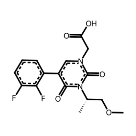 COC[C@H](C)n1c(=O)c(-c2cccc(F)c2F)cn(CC(=O)O)c1=O